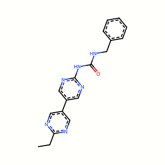 CCc1ncc(-c2cnc(NC(=O)NCc3ccccc3)nc2)cn1